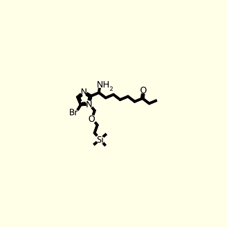 CCC(=O)CCCCCC(N)c1ncc(Br)n1COCC[Si](C)(C)C